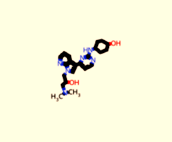 CN(C)CC(O)Cn1cc(-c2ccnc(NC3CCC(O)CC3)n2)c2cccnc21